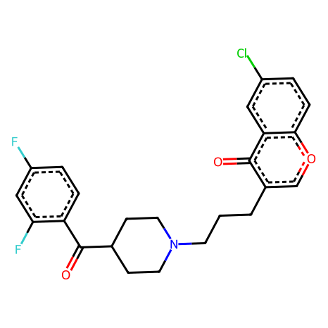 O=C(c1ccc(F)cc1F)C1CCN(CCCc2coc3ccc(Cl)cc3c2=O)CC1